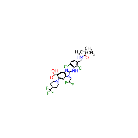 CC(C)(C)C(=O)NCc1ccc(Cl)c(Nc2nc3cc(C(=O)O)c(N4CCC(C(F)(F)F)CC4)cc3n2CC(F)F)c1Cl